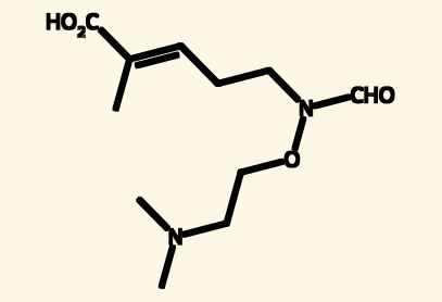 CC(=CCCN(C=O)OCCN(C)C)C(=O)O